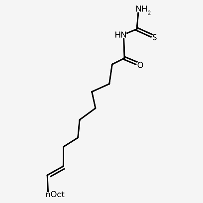 CCCCCCCCC=CCCCCCCCC(=O)NC(N)=S